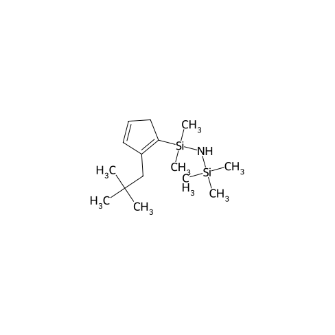 CC(C)(C)CC1=C([Si](C)(C)N[Si](C)(C)C)CC=C1